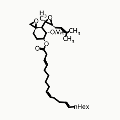 CCCCCC/C=C/CC/C=C\CCCC/C=C/CC(=O)O[C@@H]1CC[C@]2(CO2)[C@@H]([C@@]2(C)O[C@@H]2CC=C(C)C)[C@@H]1OC